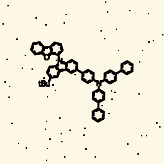 CC(C)(C)c1ccc2c(c1)c1cc(-c3ccc(N(c4ccc(-c5ccccc5)cc4)c4ccc(-c5ccccc5)cc4)cc3)ccc1n2-c1cccc2c1oc1ccccc12